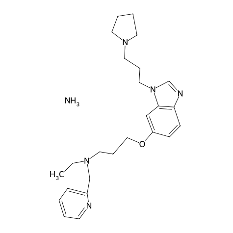 CCN(CCCOc1ccc2ncn(CCCN3CCCC3)c2c1)Cc1ccccn1.N